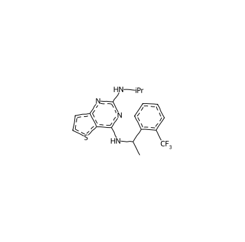 CC(C)Nc1nc(NC(C)c2ccccc2C(F)(F)F)c2sccc2n1